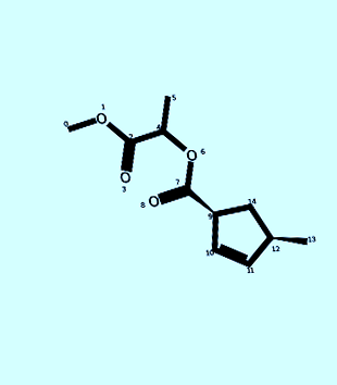 COC(=O)C(C)OC(=O)[C@@H]1C=C[C@H](C)C1